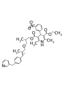 CCOC(=O)C1=C(C)NC(C)=C(C(=O)OCC(C)COC/C(C)=C/c2ccc(Cc3cccnc3)cc2)C1c1cccc([N+](=O)[O-])c1